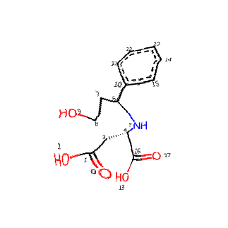 O=C(O)C[C@H](NC(CCO)c1ccccc1)C(=O)O